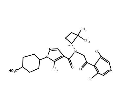 CC1(C)CC[C@H]1N(CC(=O)c1c(Cl)cncc1Cl)C(=O)c1cnn(C2CCC(C(=O)O)CC2)c1C(F)(F)F